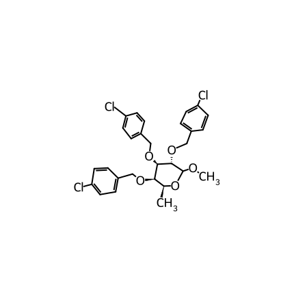 COC1O[C@@H](C)[C@@H](OCc2ccc(Cl)cc2)[C@@H](OCc2ccc(Cl)cc2)[C@@H]1OCc1ccc(Cl)cc1